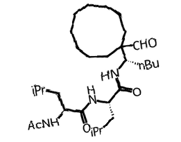 CCCC[C@H](NC(=O)[C@H](CC(C)C)NC(=O)[C@H](CC(C)C)NC(C)=O)C1(C=O)CCCCCCCCC1